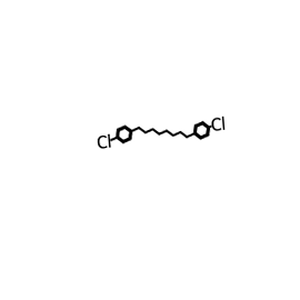 Clc1ccc(CCCCCCCCc2ccc(Cl)cc2)cc1